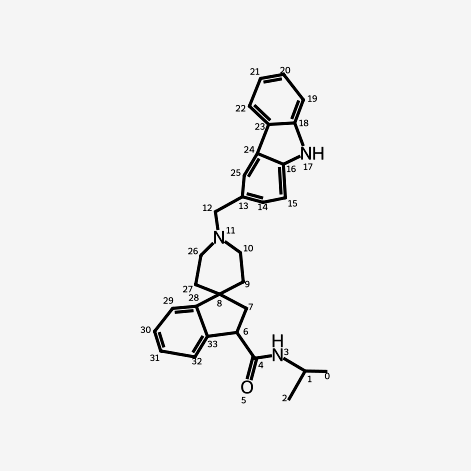 CC(C)NC(=O)C1CC2(CCN(Cc3ccc4[nH]c5ccccc5c4c3)CC2)c2ccccc21